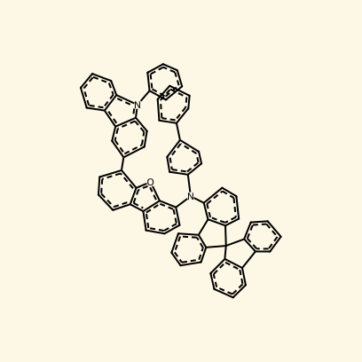 c1ccc(-c2ccc(N(c3cccc4c3-c3ccccc3C43c4ccccc4-c4ccccc43)c3cccc4c3oc3c(-c5ccc6c(c5)c5ccccc5n6-c5ccccc5)cccc34)cc2)cc1